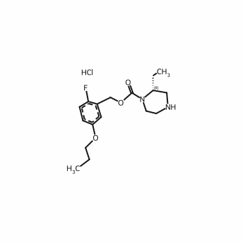 CCCOc1ccc(F)c(COC(=O)N2CCNC[C@H]2CC)c1.Cl